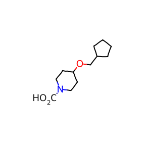 O=C(O)N1CCC(OCC2CCCC2)CC1